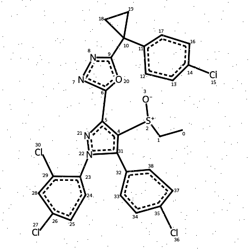 CC[S+]([O-])c1c(-c2nnc(C3(c4ccc(Cl)cc4)CC3)o2)nn(-c2ccc(Cl)cc2Cl)c1-c1ccc(Cl)cc1